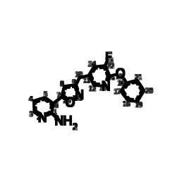 Nc1ncccc1-c1cc(Cc2cnc(Oc3ccccc3)c(F)c2)no1